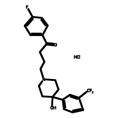 Cl.O=C(CCCN1CCC(O)(c2cccc(C(F)(F)F)c2)CC1)c1ccc(F)cc1